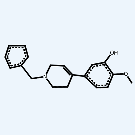 COc1ccc(C2=CCN(Cc3ccccc3)CC2)cc1O